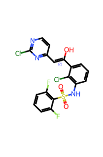 O=S(=O)(Nc1cccc(/C(O)=C/c2ccnc(Cl)n2)c1Cl)c1c(F)cccc1F